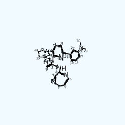 C=C(NC1=NC=CCN=C1)N1c2nc(-c3cccc(N(C)C)c3)ccc2N2CCC[C@@H]1C2